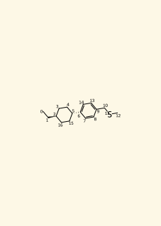 CC[C@H]1CC[C@H](c2ccc(CSC)cc2)CC1